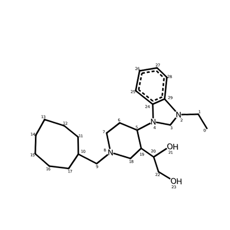 CCN1CN(C2CCN(CC3CCCCCCC3)CC2C(O)CO)c2ccccc21